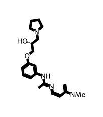 C=C(/C=C\N=C(/C)Nc1cccc(OC[C@H](O)CN2CCCC2)c1)NC